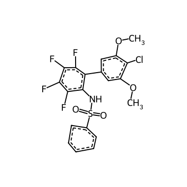 COc1cc(-c2c(F)c(F)c(F)c(F)c2NS(=O)(=O)c2ccccc2)cc(OC)c1Cl